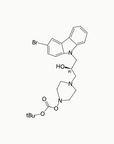 CC(C)(C)OC(=O)ON1CCN(C[C@@H](O)Cn2c3ccccc3c3cc(Br)ccc32)CC1